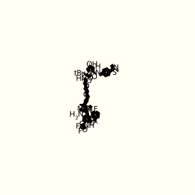 Cc1ncsc1-c1ccc(CNC(=O)[C@@H]2C[C@@H](O)CN2C(=O)[C@@H](NC(=O)COCCOCC#Cc2cnc(N)c3c(-c4ccc(NS(=O)(=O)C(F)F)c(O[C@@H](C)c5ccc(F)cc5)c4)nn(C)c23)C(C)(C)C)cc1